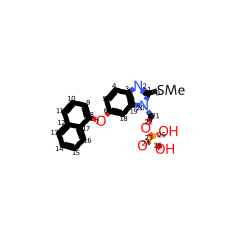 CSc1nc2ccc(Oc3cccc4ccccc34)cc2n1COP(=O)(O)O